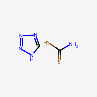 NC(=S)S.c1nnn[nH]1